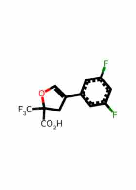 O=C(O)C1(C(F)(F)F)CC(c2cc(F)cc(F)c2)=CO1